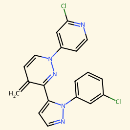 C=C1C=CN(c2ccnc(Cl)c2)N=C1c1ccnn1-c1cccc(Cl)c1